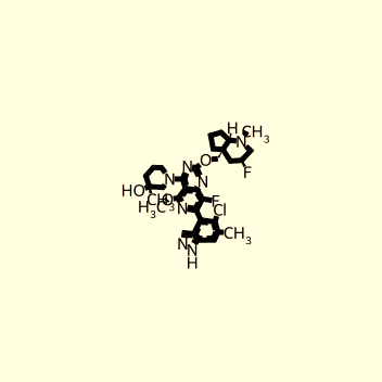 COc1nc(-c2c(Cl)c(C)cc3[nH]ncc23)c(F)c2nc(OC[C@]34CCC[C@H]3N(C)C[C@@H](F)C4)nc(N3CCC[C@@](C)(O)C3)c12